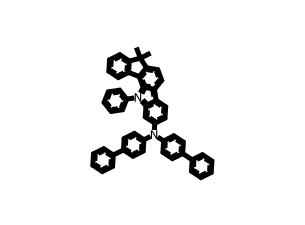 CC1(C)c2ccccc2-c2c1ccc1c3ccc(N(c4ccc(-c5ccccc5)cc4)c4ccc(-c5ccccc5)cc4)cc3n(-c3ccccc3)c21